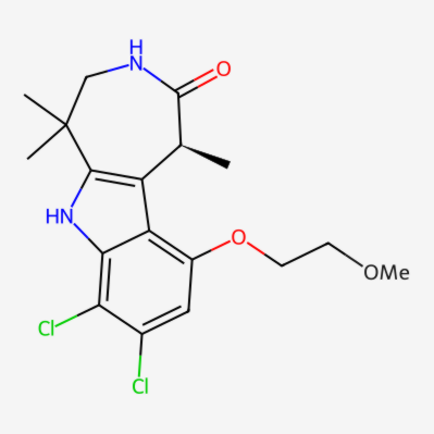 COCCOc1cc(Cl)c(Cl)c2[nH]c3c(c12)[C@H](C)C(=O)NCC3(C)C